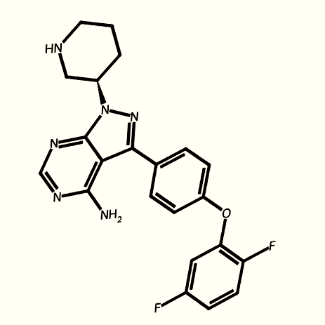 Nc1ncnc2c1c(-c1ccc(Oc3cc(F)ccc3F)cc1)nn2[C@@H]1CCCNC1